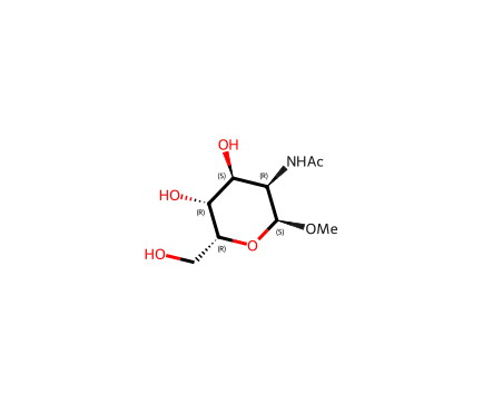 CO[C@H]1O[C@H](CO)[C@H](O)[C@@H](O)[C@H]1NC(C)=O